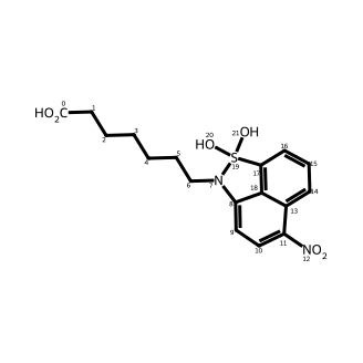 O=C(O)CCCCCCN1c2ccc([N+](=O)[O-])c3cccc(c23)S1(O)O